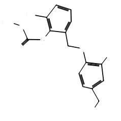 CCc1ccc(OCc2cccc(C)c2NC(=O)SC)c(C)c1